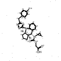 O=C(O)COC(=O)N(C1CC1)[C@H]1c2ccccc2N(c2nnc(Cc3ccc(F)cc3)o2)[C@@H]2CCC[C@@H]21